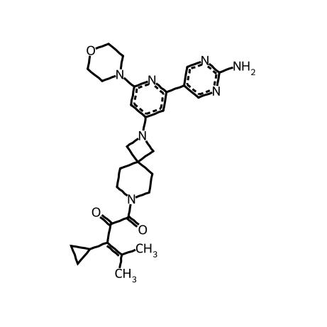 CC(C)=C(C(=O)C(=O)N1CCC2(CC1)CN(c1cc(-c3cnc(N)nc3)nc(N3CCOCC3)c1)C2)C1CC1